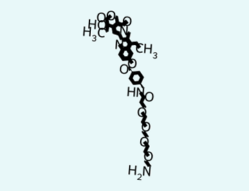 CCc1c2c(nc3ccc(OC(=O)[C@H]4CC[C@H](CNC(=O)CCOCCOCCOCCOCCN)CC4)cc13)-c1cc3c(c(=O)n1C2)COC(=O)[C@]3(O)CC